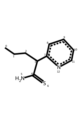 CCCC(C(N)=S)c1ccccn1